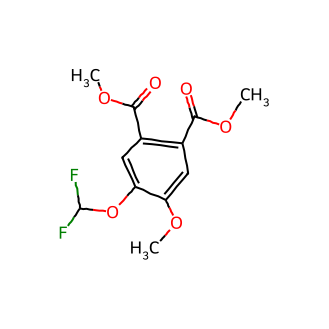 COC(=O)c1cc(OC)c(OC(F)F)cc1C(=O)OC